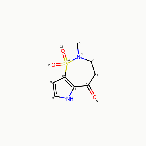 CN1CCC(=O)c2[nH]ccc2S1(=O)=O